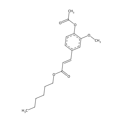 CCCCCCOC(=O)C=Cc1ccc(OC(C)=O)c(OC)c1